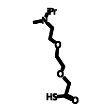 CC(C)N(C)CCOCCOCC(=O)S